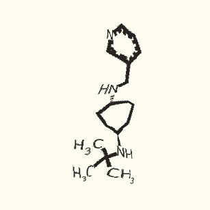 CC(C)(C)N[C@H]1CC[C@H](NCc2cccnc2)CC1